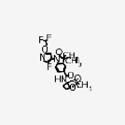 CC1(C)C(=O)N(c2cc(OCC(F)F)ncc2F)c2ccc(C(=O)NC3(CS(C)(=O)=O)CCC3)cc21